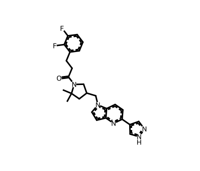 CC1(C)CC(Cn2ccc3nc(-c4cn[nH]c4)ccc32)CN1C(=O)CCc1cccc(F)c1F